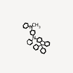 CN(c1ccccc1)c1ccc(N(C2=CCCC=C2)c2ccc3c(c2)C(c2ccccc2)(c2ccccc2)c2ccccc2-3)cc1